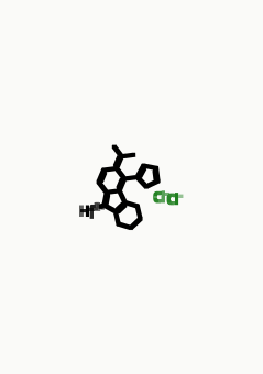 CC(C)=c1ccc2c(c1C1=CC=CC1)C1=C(CCCC1)[C]=2[Hf+2].[Cl-].[Cl-]